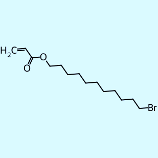 C=CC(=O)OCCCCCCCCCCCBr